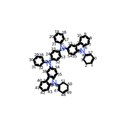 C1=CCCC(n2c3ccccc3c3cc(N(c4ccccc4)c4ccc(N(c5ccccc5)c5ccc6c(c5)c5ccccc5n6C5=CC=CCC5)cc4)ccc32)=C1